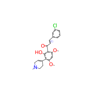 COc1cc(OC)c(C2=CCN(C)CC2)c(O)c1C(=O)/C=C/c1cccc(Cl)c1